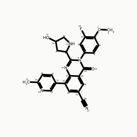 COc1ccc(-n2c(C3CC(O)CN3)nc3c(-c4ccc(C)nc4)cc(C#N)cc3c2=O)cc1F